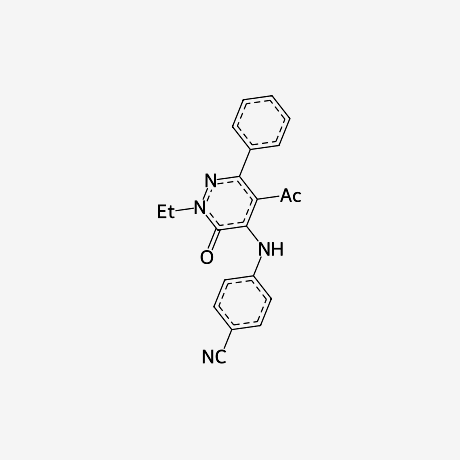 CCn1nc(-c2ccccc2)c(C(C)=O)c(Nc2ccc(C#N)cc2)c1=O